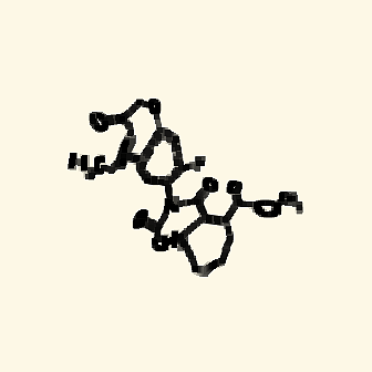 CCN1C(=O)COc2cc(F)c(N(C(C)=O)C(=O)C3=C(C(=O)OC)CCCC3)cc21